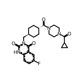 O=C(C1CC1)N1CCN(C(=O)[C@H]2CC[C@H](Cn3c(=O)[nH]c4ccc(F)cc4c3=O)CC2)CC1